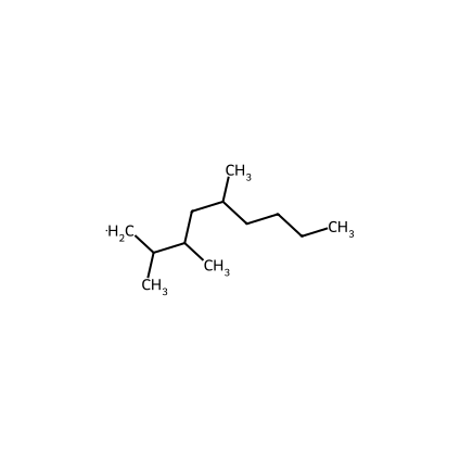 [CH2]C(C)C(C)CC(C)CCCC